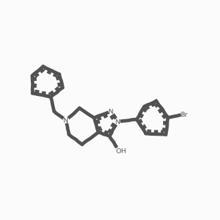 Oc1c2c(nn1-c1ccc(Br)cc1)CN(Cc1ccccc1)CC2